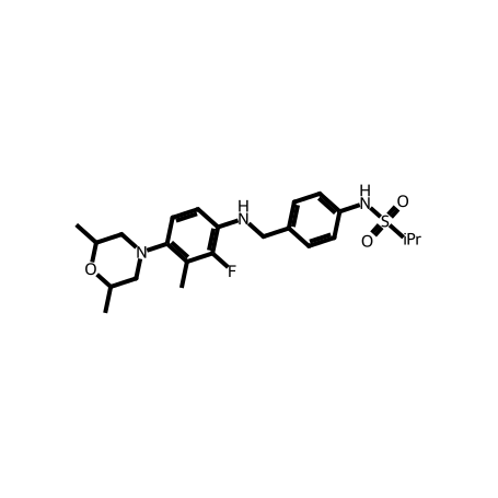 Cc1c(N2CC(C)OC(C)C2)ccc(NCc2ccc(NS(=O)(=O)C(C)C)cc2)c1F